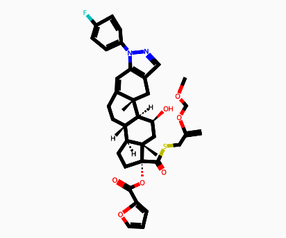 C=C(CSC(=O)[C@@]1(OC(=O)c2ccco2)CC[C@H]2[C@@H]3CCC4=Cc5c(cnn5-c5ccc(F)cc5)C[C@]4(C)[C@H]3[C@@H](O)C[C@@]21C)OCOC